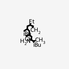 C=CC(CC)CC(CC(C)CC)CC(C=C)CC(N)[C@H](C)C(C)CC